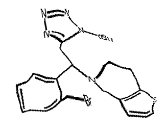 CC(C)(C)n1nnnc1C(c1ccccc1Br)N1CCc2sccc2C1